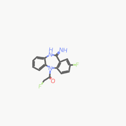 N=C1Nc2ccccc2N(C(=O)CF)c2ccc(F)cc21